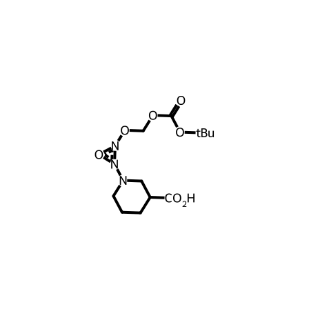 CC(C)(C)OC(=O)OCOn1on1N1CCCC(C(=O)O)C1